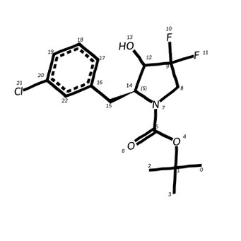 CC(C)(C)OC(=O)N1CC(F)(F)C(O)[C@@H]1Cc1cccc(Cl)c1